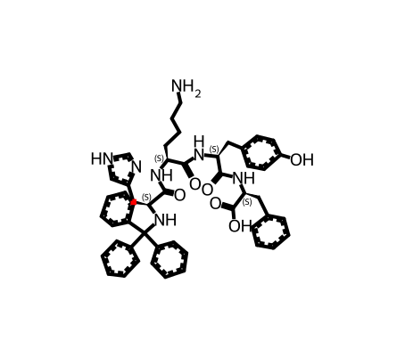 NCCCC[C@H](NC(=O)[C@H](Cc1c[nH]cn1)NC(c1ccccc1)(c1ccccc1)c1ccccc1)C(=O)N[C@@H](Cc1ccc(O)cc1)C(=O)N[C@@H](Cc1ccccc1)C(=O)O